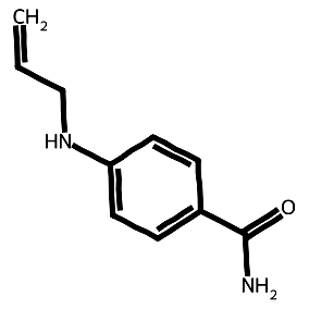 C=CCNc1ccc(C(N)=O)cc1